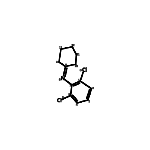 Clc1cccc(Cl)c1N=C1CCCCC1